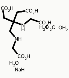 O.O.O.O.O=C(O)CNCC(CC(=O)O)(CC(=O)O)NCC(=O)O.[NaH]